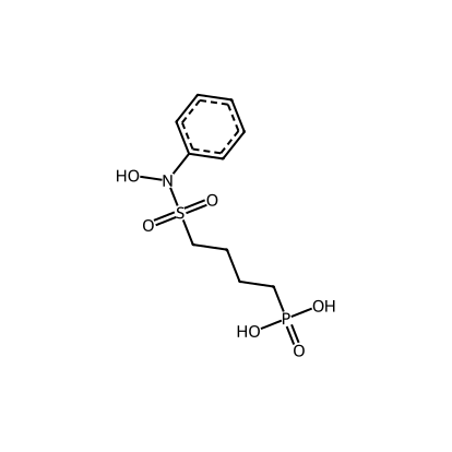 O=P(O)(O)CCCCS(=O)(=O)N(O)c1ccccc1